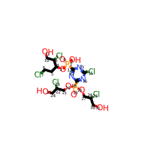 O=P(O)(OC(CCCl)C(Cl)CO)c1nc(Cl)nc(P(=O)(OCC(Cl)CO)OCC(Cl)CO)n1